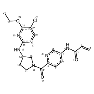 C=CC(=O)Nc1ccc(C(=O)N2CCC(Nc3ncc(Cl)c(OCC)n3)C2)nc1